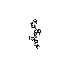 CN1CCC[C@H]1c1nnc2ccc(O[C@@H]3CC[C@H](NC(=O)Nc4cc(C(C)(C)C)nn4-c4cccc(ON5CCOCC5)c4)c4ccccc43)cn12